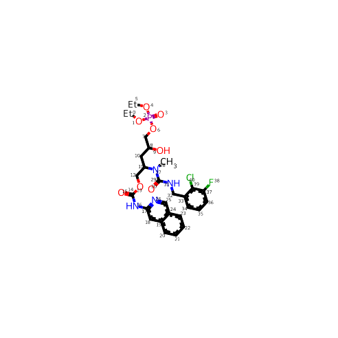 CCOP(=O)(OCC)OCC(O)CC(COC(=O)Nc1cc2ccccc2cn1)N(C)C(=O)NCc1cccc(F)c1Cl